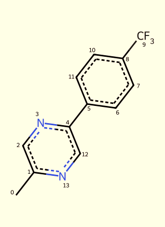 Cc1cnc(-c2ccc(C(F)(F)F)cc2)cn1